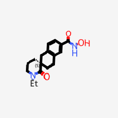 CCN1CCC[C@]2(CCc3cc(C(=O)NO)ccc3C2)C1=O